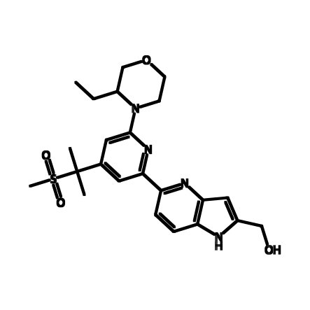 CCC1COCCN1c1cc(C(C)(C)S(C)(=O)=O)cc(-c2ccc3[nH]c(CO)cc3n2)n1